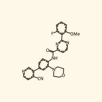 COc1cccc(F)c1-c1nccc(C(=O)Nc2ccc(-c3cnccc3C#N)cc2N2CCOCC2)n1